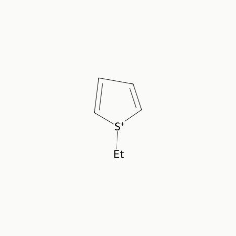 CC[s+]1cccc1